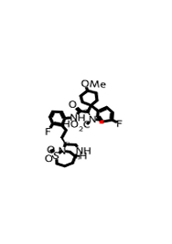 COC1CCC(c2ccc(F)cc2)([C@@H](C(=O)Nc2cccc(F)c2CC[C@H]2CN[C@@H]3CCCS(=O)(=O)N2C3)N(C)C(=O)O)CC1